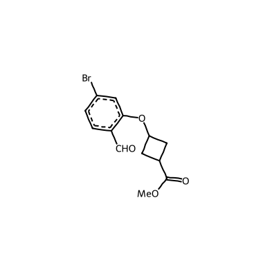 COC(=O)C1CC(Oc2cc(Br)ccc2C=O)C1